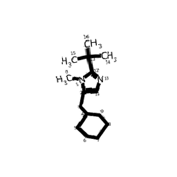 Cn1c(CC2CCCCC2)cnc1C(C)(C)C